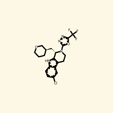 FC(F)(F)c1nnc(N2CCc3c([nH]c4ccc(Cl)cc34)[C@@H]2C[C@H]2CCCOC2)o1